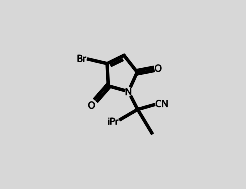 CC(C)C(C)(C#N)N1C(=O)C=C(Br)C1=O